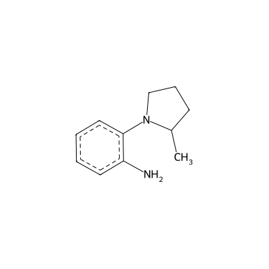 CC1CCCN1c1ccccc1N